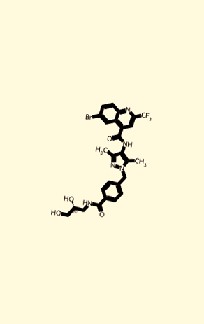 Cc1nn(Cc2ccc(C(=O)NC[C@@H](O)CO)cc2)c(C)c1NC(=O)c1cc(C(F)(F)F)nc2ccc(Br)cc12